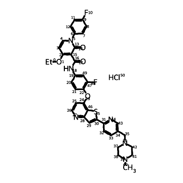 CCOc1ccn(-c2ccc(F)cc2)c(=O)c1C(=O)Nc1ccc(Oc2ccnc3cc(-c4ccc(CN5CCN(C)CC5)cn4)sc23)c(F)c1.Cl